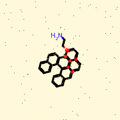 NCCOB(c1ccccc1)c1ccc2ccccc2c1-c1c(-c2ccccc2)ccc2ccccc12